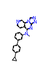 CN(c1cccc(-c2ccc(C3CC3)cc2)c1)c1nc2nncn2c2cnccc12